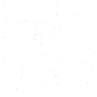 FC1CC2CC(c3ccc(Cl)nc3)C1C2